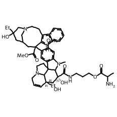 CCC1(O)CC2CN(CCc3c([nH]c4ccccc34)C(C(=O)OC)(c3cc4c(cc3OC)N(C)C3C45CCN4CC=C[C@](CC)(C45)[C@@H](O)[C@]3(O)C(=O)NCCCOC(=O)C(C)N)C2)C1